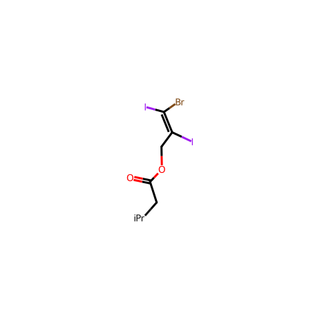 CC(C)CC(=O)OC/C(I)=C(/Br)I